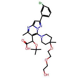 Cc1nc2cc(-c3cccc(Br)c3)nn2c(N2CCC(C)(OCCOCCO)CC2)c1C(OC(C)(C)C)C(=O)O